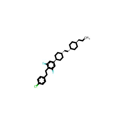 CCC[C@H]1CC[C@H](CC[C@H]2CC[C@H](c3cc(F)c(CCc4ccc(Cl)cc4)c(F)c3)CC2)CC1